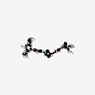 CCOCc1nc2c(NC(=O)OCc3ccc(OC(=O)CCCCC(=O)N4Cc5ccccc5-c5c(nnn5CCOc5ccc(C(=O)Oc6ccc(CS[P@@]7(=O)OC[C@H]8O[C@@H](n9cnc%10c(N)ncnc%109)[C@H](F)[C@@H]8O[P@@](C)(=O)OC[C@H]8O[C@@H](n9cnc%10c(C)ncnc%109)[C@H](F)[C@@H]8O7)cc6)cc5)-c5ccccc54)cc3)nc3ccccc3c2n1CC(C)(C)O